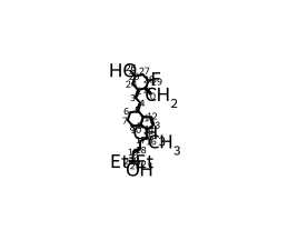 C=C1/C(=C\C=C2/CCCC3(C)C2C=CC3C(C)C/C=C/C(O)(CC)CC)CC(O)CC1F